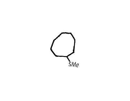 [CH2]SC1CCCCCCC1